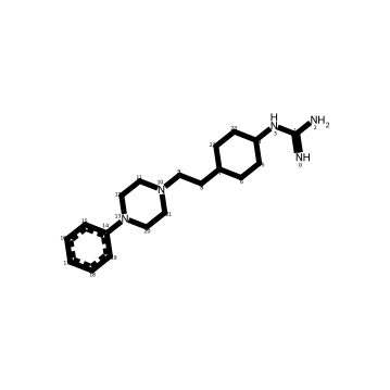 N=C(N)NC1CCC(CCN2CCN(c3ccccc3)CC2)CC1